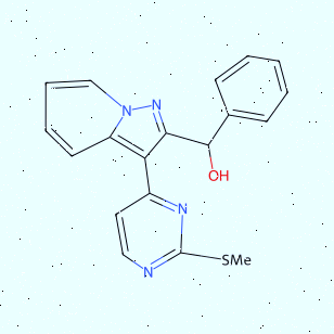 CSc1nccc(-c2c(C(O)c3ccccc3)nn3ccccc23)n1